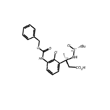 CC(C)(C)[S@@+]([O-])N[C@@](C)(CC(=O)O)c1cccc(NC(=O)OCc2ccccc2)c1Cl